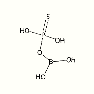 OB(O)OP(O)(O)=S